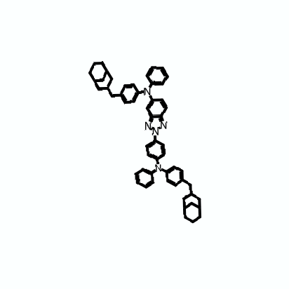 c1ccc(N(c2ccc(CC3CC4CCCC(C4)C3)cc2)c2ccc(-n3nc4ccc(N(c5ccccc5)c5ccc(CC6CC7CCCC(C7)C6)cc5)cc4n3)cc2)cc1